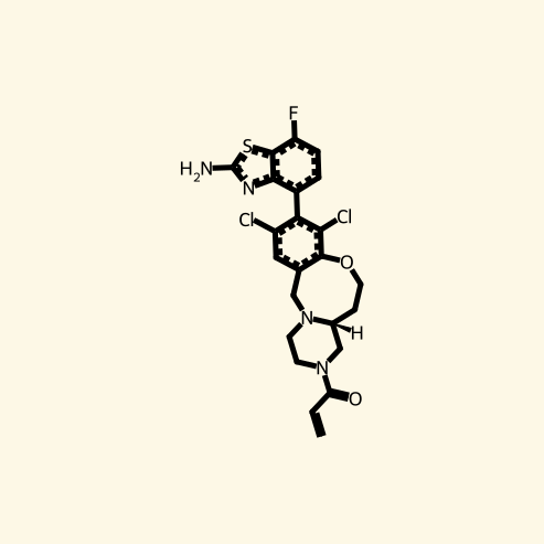 C=CC(=O)N1CCN2Cc3cc(Cl)c(-c4ccc(F)c5sc(N)nc45)c(Cl)c3OCC[C@@H]2C1